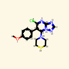 COc1ccc(-c2c(Cl)nc3ncnn3c2N2CCSCC2)cc1